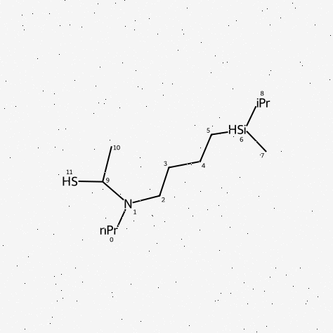 CCCN(CCCC[SiH](C)C(C)C)C(C)S